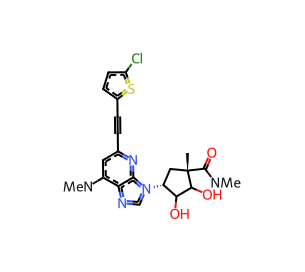 CNC(=O)[C@@]1(C)C[C@@H](n2cnc3c(NC)cc(C#Cc4ccc(Cl)s4)nc32)C(O)C1O